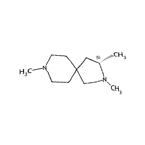 C[C@H]1CC2(CCN(C)CC2)CN1C